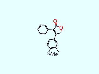 CSc1ccc(C2=C(c3ccccc3)C(=O)OC2)cc1C